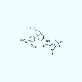 COc1ccc([C@@]23CC[C@@H](NC(=O)c4cc(F)cc(C(F)(F)F)c4)C[C@@H]2CN(C)C3)cc1OC